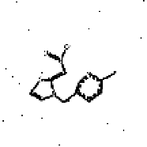 O=[N+]([O-])C=C1SC=CN1Cc1ccc(F)nc1